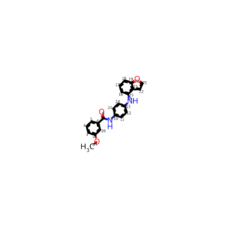 COc1cccc(C(=O)Nc2ccc(Nc3cccc4occc34)cc2)c1